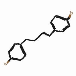 Brc1ccc(CCCCc2ccc(Br)cc2)cc1